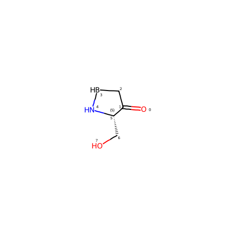 O=C1CBN[C@H]1CO